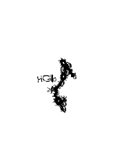 CCCCc1oc2ccccc2c1S(=O)(=O)c1ccc(OCCCN(C)CCc2ccc(OC)c(OC)c2)cc1.Cl